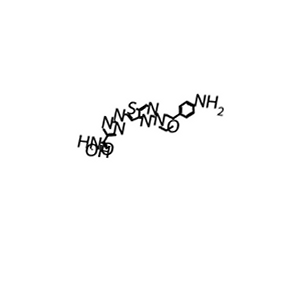 CN(c1ncc(C(=O)NO)cn1)c1cc2nc(N3CCOC(c4ccc(N)cc4)C3)ncc2s1